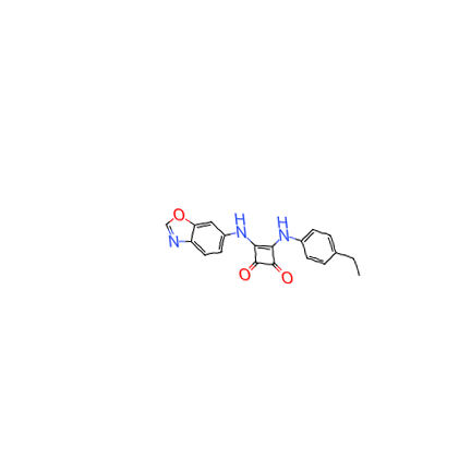 CCc1ccc(Nc2c(Nc3ccc4ncoc4c3)c(=O)c2=O)cc1